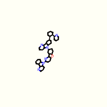 c1ccc(-c2ccccc2-c2ccc3c(c2)c2ncccc2n3-c2ccc3oc4ccc(-n5c6ccccc6c6ncccc65)nc4c3c2)nc1